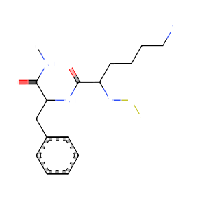 CC(C)NC(=O)C(Cc1ccccc1)NC(=O)C(CCCCN)NSS